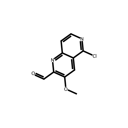 COc1cc2c(Cl)nccc2nc1C=O